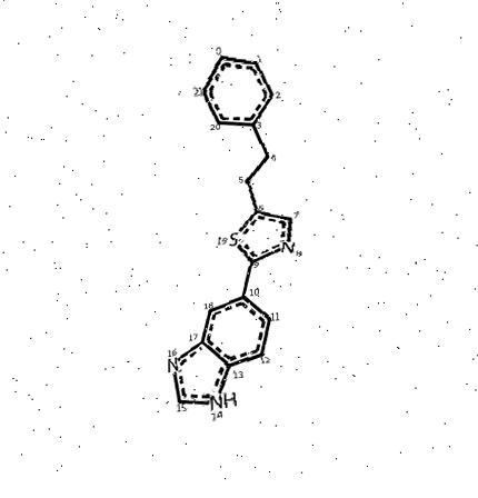 c1ccc(CCc2cnc(-c3ccc4[nH]cnc4c3)s2)cc1